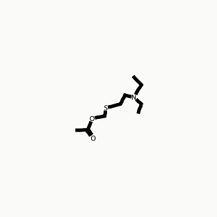 CCN(CC)CCSCOC(C)=O